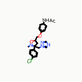 CC(=O)Nc1ccc(OCC2CC(Cn3cncn3)(c3ccc(Cl)cc3)N(C)O2)cc1